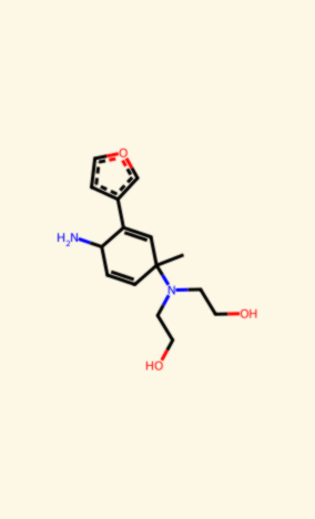 CC1(N(CCO)CCO)C=CC(N)C(c2ccoc2)=C1